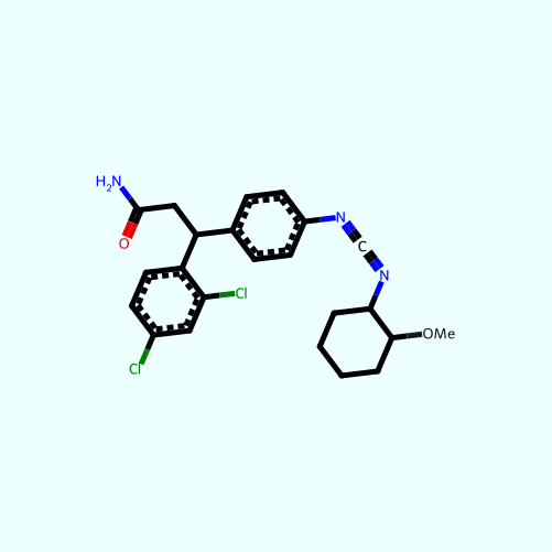 COC1CCCCC1N=C=Nc1ccc(C(CC(N)=O)c2ccc(Cl)cc2Cl)cc1